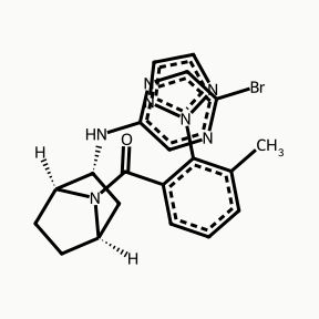 Cc1cccc(C(=O)N2[C@@H]3CC[C@H]2[C@H](Nc2cnc(Br)cn2)C3)c1-n1nccn1